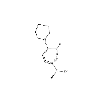 C[S@+]([O-])c1ccc(N2CCCCC2)c(F)c1